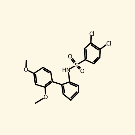 COc1ccc(-c2ccccc2NS(=O)(=O)c2ccc(Cl)c(Cl)c2)c(OC)c1